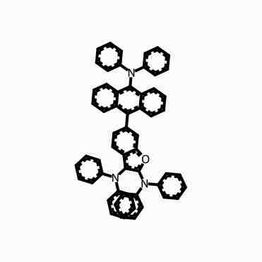 c1ccc(N(c2ccccc2)c2oc3cc(-c4c5ccccc5c(N(c5ccccc5)c5ccccc5)c5ccccc45)ccc3c2N(c2ccccc2)c2ccccc2)cc1